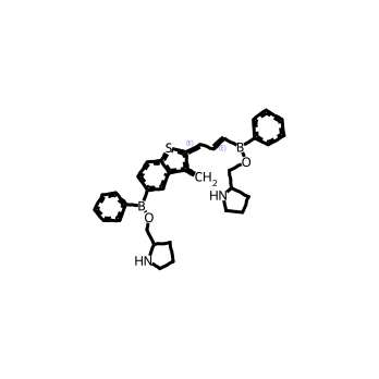 C=c1/c(=C\C=C\B(OCC2CCCN2)c2ccccc2)sc2ccc(B(OCC3CCCN3)c3ccccc3)cc12